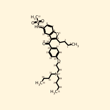 CCCCc1oc2ccc(NS(C)(=O)=O)cc2c1C(=O)c1ccc(OCCN(CCCC)CCCC)cc1